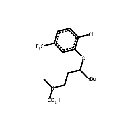 CCCCC(CCN(C)C(=O)O)Oc1cc(C(F)(F)F)ccc1Cl